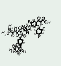 C[C@H](N)C(=O)NC(=O)[C@H](C)N(C(=O)Oc1ccc(CC(P(=O)(O)O)P(=O)(O)O)cc1)[C@H]1[C@@H]2CN(c3nc4c(cc3F)C(=O)C(C(=O)O)CN4c3ccc(F)cc3F)C[C@@H]21